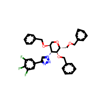 Fc1cc(-c2cn([C@H]3[C@@H](OCc4ccccc4)[C@@H](COCc4ccccc4)OC[C@@H]3OCc3ccccc3)nn2)cc(F)c1F